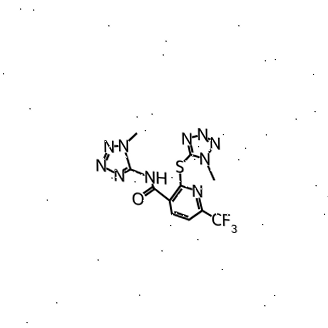 Cn1nnnc1NC(=O)c1ccc(C(F)(F)F)nc1Sc1nnnn1C